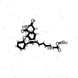 CC(C)(C)OC(=O)NCCCCCC#Cc1ccccc1Oc1cccc2c1C(=O)NC(=O)C2